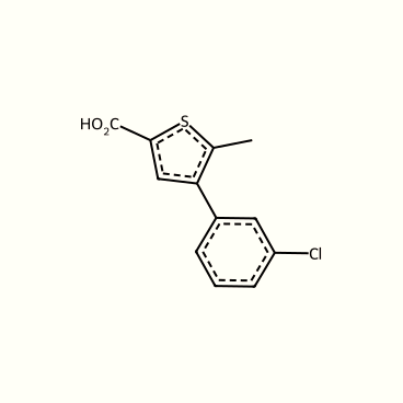 Cc1sc(C(=O)O)cc1-c1cccc(Cl)c1